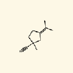 CC(C)=C1CCC(C)(C#N)C1